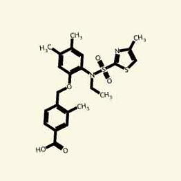 CCN(c1cc(C)c(C)cc1OCc1ccc(C(=O)O)cc1C)S(=O)(=O)c1nc(C)cs1